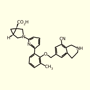 Cc1cccc(-c2cccc(N3C[C@@H]4C[C@]4(C(=O)O)C3)n2)c1OCc1cc(C#N)c2c(c1)CCNC2